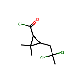 CC(Cl)(Cl)CC1C(C(=O)Cl)C1(C)C